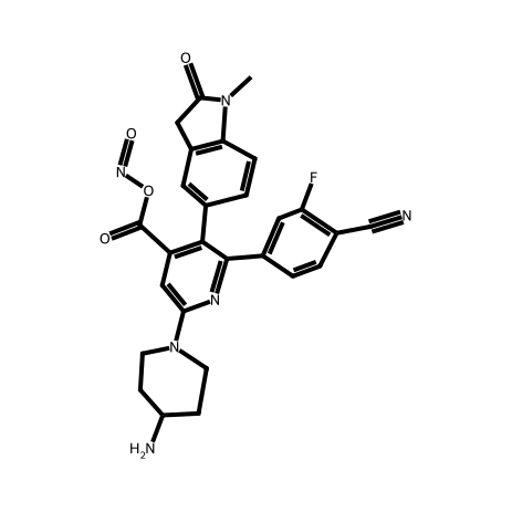 CN1C(=O)Cc2cc(-c3c(C(=O)ON=O)cc(N4CCC(N)CC4)nc3-c3ccc(C#N)c(F)c3)ccc21